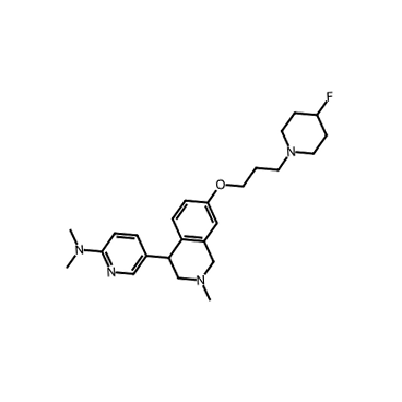 CN1Cc2cc(OCCCN3CCC(F)CC3)ccc2C(c2ccc(N(C)C)nc2)C1